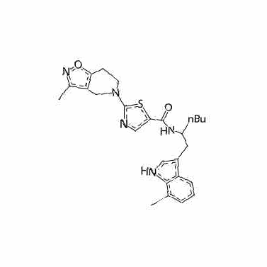 CCCCC(Cc1c[nH]c2c(C)cccc12)NC(=O)c1cnc(N2CCc3onc(C)c3C2)s1